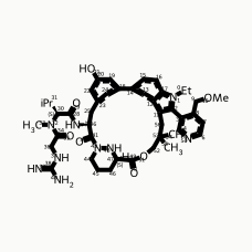 CCn1c(-c2cnccc2COC)c2c3cc(ccc31)-c1cc(O)cc(c1)C[C@H](NC(=O)[C@H](C(C)C)N(C)C(=O)CNC(=N)N)C(=O)N1CCC[C@H](N1)C(=O)OCC(C)(C)C2